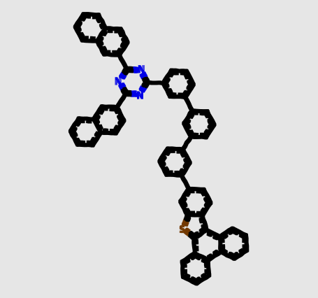 c1cc(-c2cccc(-c3ccc4c(c3)sc3c5ccccc5c5ccccc5c43)c2)cc(-c2cccc(-c3nc(-c4ccc5ccccc5c4)nc(-c4ccc5ccccc5c4)n3)c2)c1